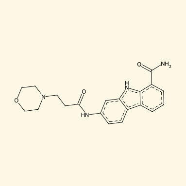 NC(=O)c1cccc2c1[nH]c1cc(NC(=O)CCN3CCOCC3)ccc12